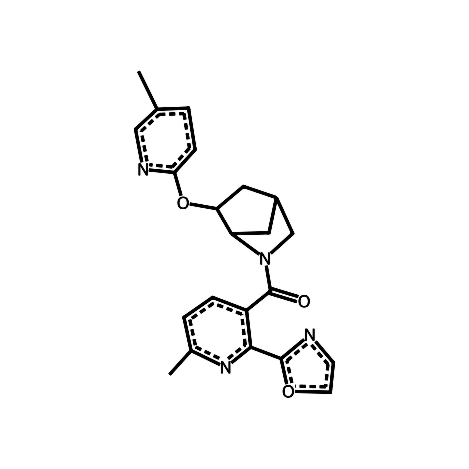 Cc1ccc(OC2CC3CC2N(C(=O)c2ccc(C)nc2-c2ncco2)C3)nc1